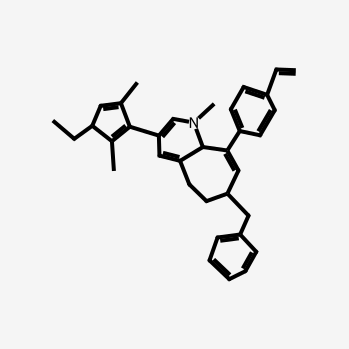 C=Cc1ccc(C2=CC(Cc3ccccc3)CCC3=CC(C4=C(C)C(CC)C=C4C)=CN(C)C32)cc1